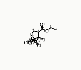 CCOC(=O)C1CN2C(Cl)=C(Cl)C1(Cl)C2(Cl)Cl